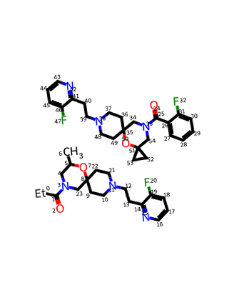 CCC(=O)N1CC(C)OC2(CCN(CCc3ncccc3F)CC2)C1.O=C(c1ccccc1F)N1CC2(CCN(CCc3ncccc3F)CC2)OC2(CC2)C1